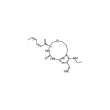 C=C(/C=C\C=C/C)[C@H]1COCCCc2nc(cc(C=N)c2NCC)NC(=O)N1